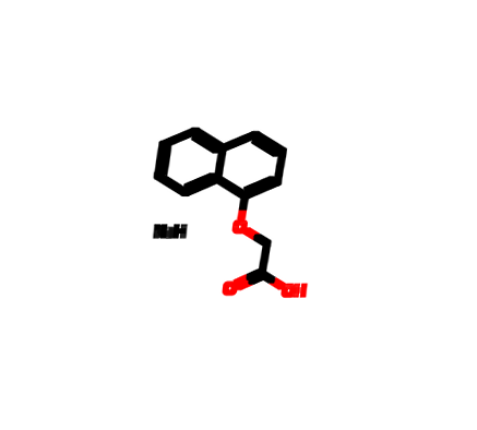 O=C(O)COc1cccc2ccccc12.[NaH]